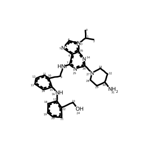 CC(C)n1cnc2c(NCc3ccccc3Nc3ccccc3CO)nc(N3CCC(N)CC3)nc21